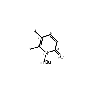 CCCCn1c(C)c(C)c[c]c1=O